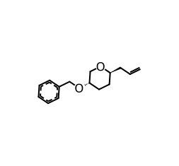 C=CC[C@H]1CC[C@H](OCc2ccccc2)CO1